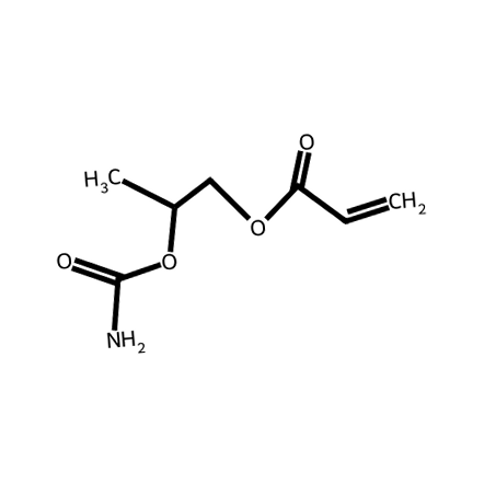 C=CC(=O)OCC(C)OC(N)=O